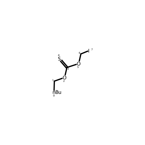 CCCCCOC(=S)OCI